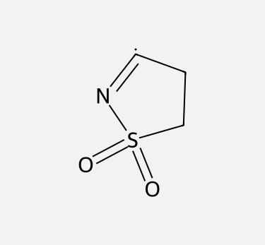 O=S1(=O)CC[C]=N1